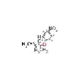 C=C[SiH2]C(C)(C)Oc1ccc([N+](=O)[O-])cc1